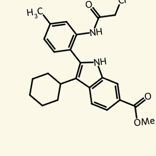 COC(=O)c1ccc2c(C3CCCCC3)c(-c3ccc(C)cc3NC(=O)CCl)[nH]c2c1